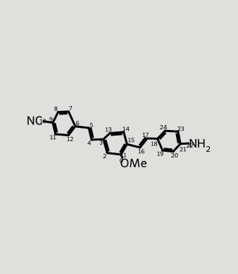 COc1cc(/C=C/c2ccc(C#N)cc2)ccc1/C=C/c1ccc(N)cc1